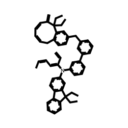 C=C/C(=C\C=C/C)N(c1cccc(-c2cccc(Cc3ccc4c(c3)C(CC)(CC)C(=C)/C=C\C=C/C4)c2)c1)c1ccc2c(c1)C(CC)(CC)c1ccccc1-2